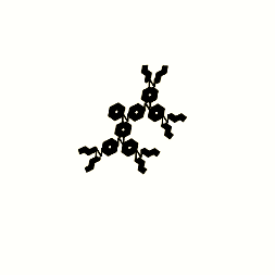 CCCCN(CCCC)c1ccc(N(c2ccc(N(CCCC)CCCC)cc2)c2ccc(N(c3ccccc3)c3ccc(N(c4ccc(N(CCCC)CCCC)cc4)c4ccc(N(CCCC)CCCC)cc4)cc3)cc2)cc1